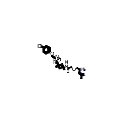 C/N=C(\C=C(C)C)COCC(=O)NC1(C)CC(C)(c2nc(COc3ccc(Cl)cc3)no2)C1